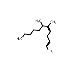 CC=CCC=C(C)C(C)CCCCC